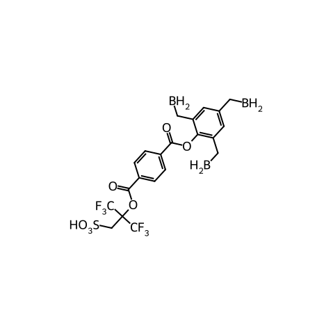 BCc1cc(CB)c(OC(=O)c2ccc(C(=O)OC(CS(=O)(=O)O)(C(F)(F)F)C(F)(F)F)cc2)c(CB)c1